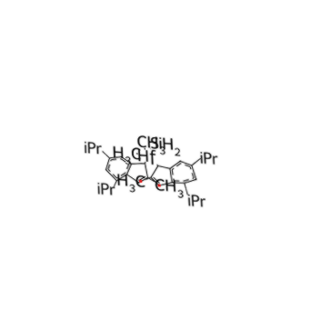 CC1=Cc2c(C(C)C)cc(C(C)C)cc2[CH]1[Hf]([CH3])([CH3])(=[SiH2])[CH]1C(C)=Cc2c(C(C)C)cc(C(C)C)cc21